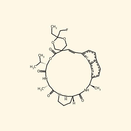 CCC1(CF)OCC2(/C=C/c3ccc4ccc(nc4c3)[C@@H](C)NC(=O)[C@@H]3CCCN(N3)C(=O)[C@H](C)NC(=O)[C@H](C(C)C)OC2=O)CO1